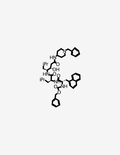 CC(C)C[C@H](NC(=O)[C@H](Cc1cccc2ccccc12)NC(=O)OCc1ccccc1)C(=O)N[C@@H](CC(C)C)[C@@H](O)CC(=O)NC1CCN(Cc2ccccc2)CC1